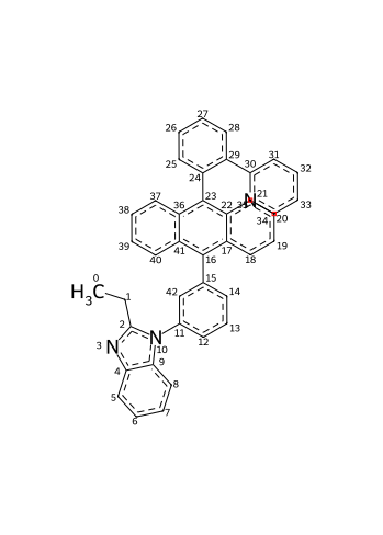 CCc1nc2ccccc2n1-c1cccc(-c2c3ccccc3c(-c3ccccc3-c3ccccn3)c3ccccc23)c1